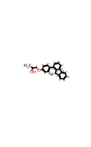 [2H]c1cc(OCC(C)O)ccc1-c1cccc2c1Cc1ccccc1-2